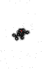 c1ccc(N(c2ccccc2)c2cc3c4c(c2)-n2c5ccccc5c5cc6c(c(c52)B4c2ccccc2O3)c2ccccc2n6-c2ccccc2)cc1